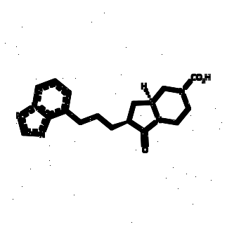 O=C(O)N1CCN2C(=O)[C@@H](CCCc3cccn4ncnc34)C[C@H]2C1